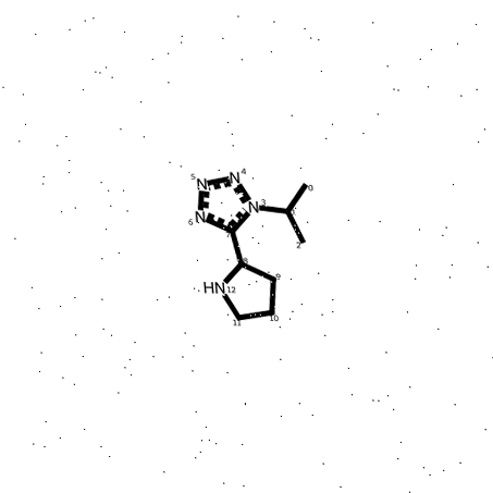 CC(C)n1nnnc1C1CCCN1